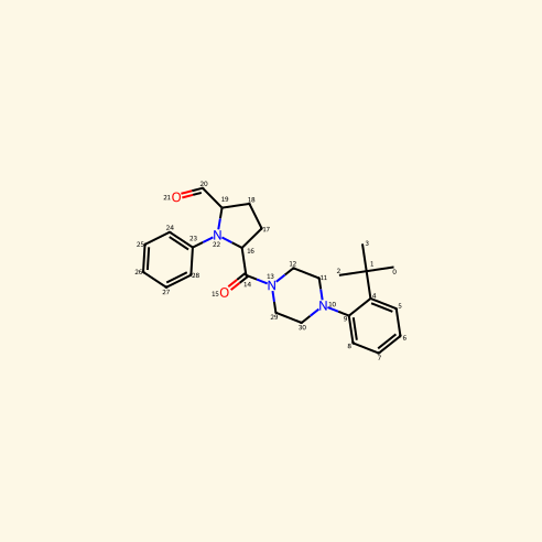 CC(C)(C)c1ccccc1N1CCN(C(=O)C2CCC(C=O)N2c2ccccc2)CC1